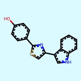 Oc1ccc(-c2nc(-c3c[nH]c4ccccc34)cs2)cc1